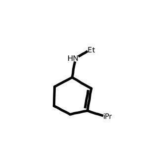 CCNC1C=C(C(C)C)CCC1